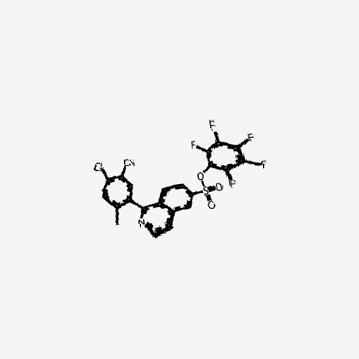 Cc1cc(Cl)c(C#N)cc1-c1nccc2cc(S(=O)(=O)Oc3c(F)c(F)c(F)c(F)c3F)ccc12